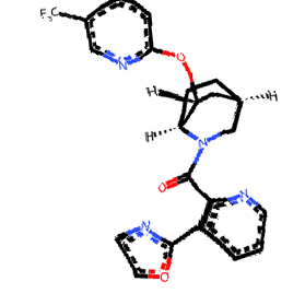 O=C(c1ncccc1-c1ncco1)N1C[C@@H]2CC[C@H]1[C@H](Oc1ccc(C(F)(F)F)cn1)C2